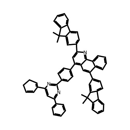 CC1(C)c2ccccc2-c2ccc(-c3cc(-c4ccc(-c5nc(C6=CCCC=C6)cc(-c6ccccc6)n5)cc4)c4cc(-c5ccc6c(c5)C(C)(C)c5ccccc5-6)c5ccccc5c4n3)cc21